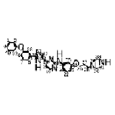 c1ccc(Oc2cccc(-c3ncc(-c4ccnc(Nc5cccc(OCCCN6CCNCC6)c5)n4)[nH]3)c2)cc1